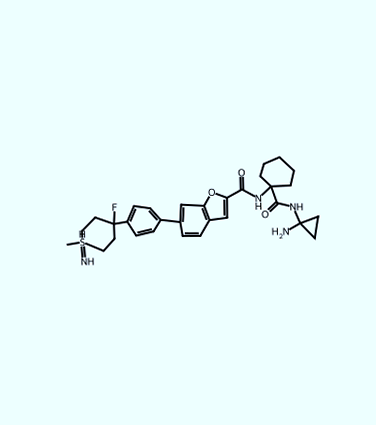 C[SH]1(=N)CCC(F)(c2ccc(-c3ccc4cc(C(=O)NC5(C(=O)NC6(N)CC6)CCCCC5)oc4c3)cc2)CC1